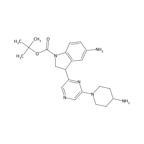 CC(C)(C)OC(=O)N1CC(c2cncc(N3CCC(N)CC3)n2)c2cc(N)ccc21